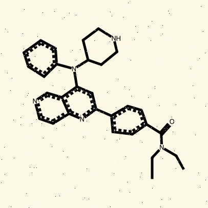 CCN(CC)C(=O)c1ccc(-c2cc(N(c3ccccc3)C3CCNCC3)c3cnccc3n2)cc1